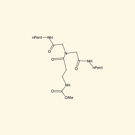 CCCCCNC(=O)CN(CC(=O)NCCCCC)C(=O)CCNC(=O)OC